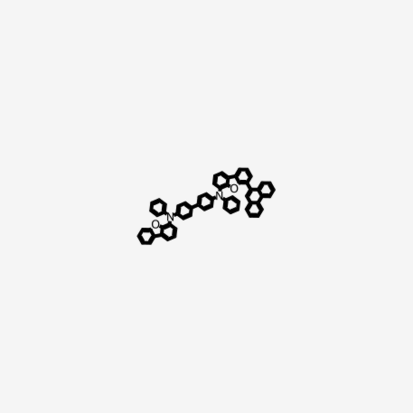 c1ccc(N(c2ccc(-c3ccc(N(c4ccccc4)c4cccc5c4oc4c(-c6cc7ccccc7c7ccccc67)cccc45)cc3)cc2)c2cccc3c2oc2ccccc23)cc1